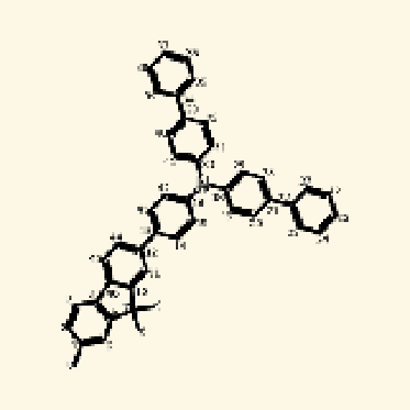 Cc1ccc2c(c1)C(C)(C)c1cc(-c3ccc(N(c4ccc(-c5ccccc5)cc4)c4ccc(-c5ccccc5)cc4)cc3)ccc1-2